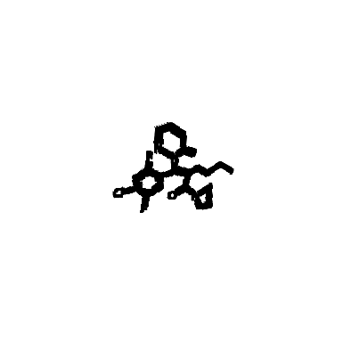 C=C1C=CC=NN1/C(=C(\CCCC)C(=O)N1CCC1)c1cc(F)c(Cl)cc1F